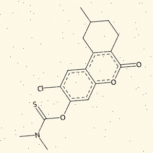 CC1CCc2c(c3cc(Cl)c(OC(=S)N(C)C)cc3oc2=O)C1